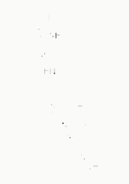 CCn1nc(CN(C)C)cc1Nc1cc(Nc2ccccc2C(=O)NOC)c(Cl)cn1